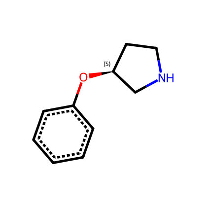 c1ccc(O[C@H]2CCNC2)cc1